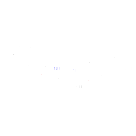 Cc1ccc(CC(=O)NC[C@H](NC(=O)Cc2ccc(O)cc2)C(=O)O)cc1